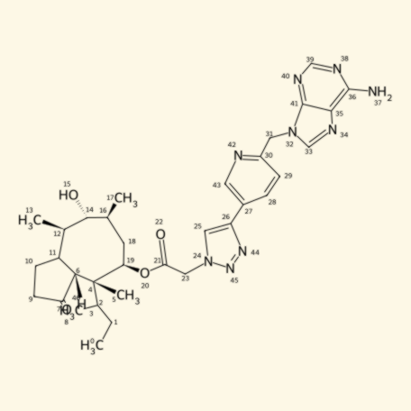 CCC(C)[C@]1(C)[C@@H]2C(=O)CCC2[C@@H](C)[C@H](O)[C@@H](C)C[C@H]1OC(=O)Cn1cc(-c2ccc(Cn3cnc4c(N)ncnc43)nc2)nn1